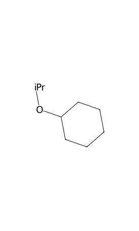 [CH2]C(C)OC1CCCCC1